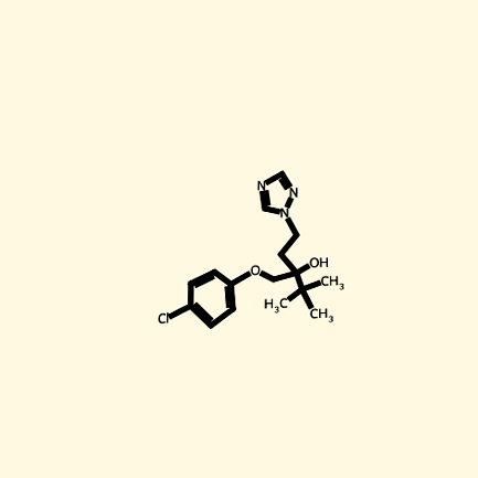 CC(C)(C)C(O)(CCn1cncn1)COc1ccc(Cl)cc1